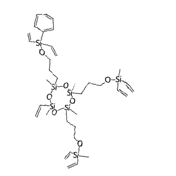 C=C[Si](C)(C=C)OCCC[Si]1(C)O[Si](C)(C=C)O[Si](C)(CCCO[Si](C=C)(C=C)c2ccccc2)O[Si](C)(CCCO[Si](C)(C=C)C=C)O1